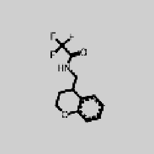 O=C(NCC1CCOc2ccccc21)C(F)(F)F